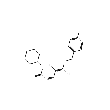 C=C(/N=C\C(F)=C(/N)NCc1ccc(C)cc1)OC1CCCCC1